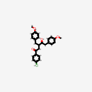 COc1ccc(CC(=O)C(CC(=O)c2ccc(Cl)cc2)Cc2ccc(OC)cc2)cc1